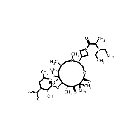 CCN(CC)[C@H](C)C(=O)N1CC([C@H]2COC(=O)C(C)(C)C(=O)[C@H](C)[C@@H](O[C@@H]3O[C@H](C)C[C@H](N(C)C)[C@H]3O)[C@](C)(OC)C[C@@H](C)CN2C)C1